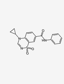 O=C(Nc1ccccc1)c1ccc2c(c1)S(=O)(=O)N=CN2C1CC1